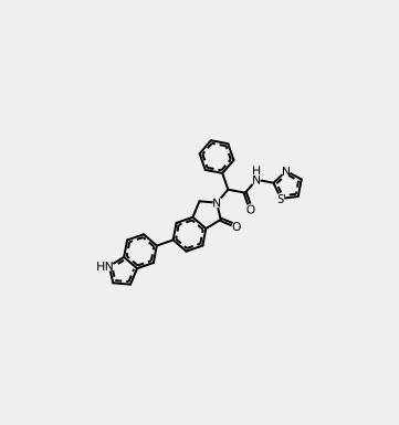 O=C(Nc1nccs1)C(c1ccccc1)N1Cc2cc(-c3ccc4[nH]ccc4c3)ccc2C1=O